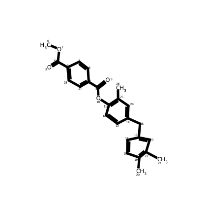 COC(=O)c1ccc(C(=O)Oc2ccc(Cc3ccc(C)c(C)c3)cc2C)cc1